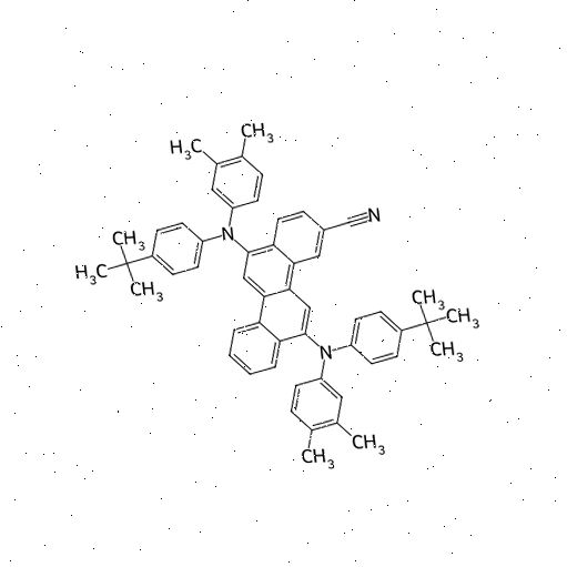 Cc1ccc(N(c2ccc(C(C)(C)C)cc2)c2cc3c4cc(C#N)ccc4c(N(c4ccc(C(C)(C)C)cc4)c4ccc(C)c(C)c4)cc3c3ccccc23)cc1C